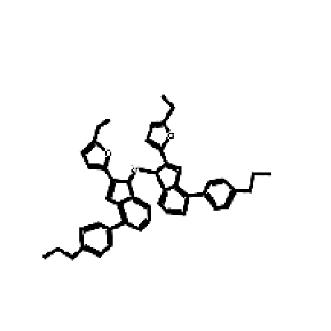 CCCc1ccc(-c2cccc3c2C=C(c2ccc(CC)o2)[CH]3[Zr][CH]2C(c3ccc(CC)o3)=Cc3c(-c4ccc(CCC)cc4)cccc32)cc1